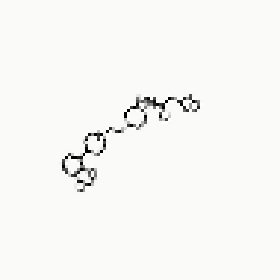 O=C(CC1COC1)N[C@H]1CC[C@H](CCN2CCC(c3cccc4c3OCO4)CC2)CC1